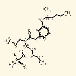 CCCC[C@@H](C)Oc1ccnc(CC(=O)N(COC)[C@@H](COS(C)(=O)=O)OCOC)c1